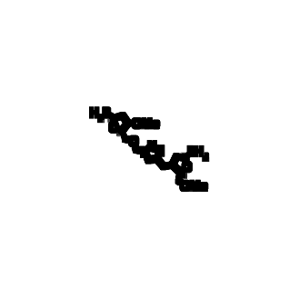 B[C@H]1CC(Cc2cn(COC[C@H]3O[C@@H](B)CC3OC)nn2)[C@@H](COC)O1